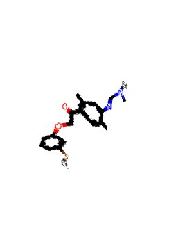 CCSc1cccc(OCC(=O)c2cc(C)c(N=CN(C)CC)cc2C)c1